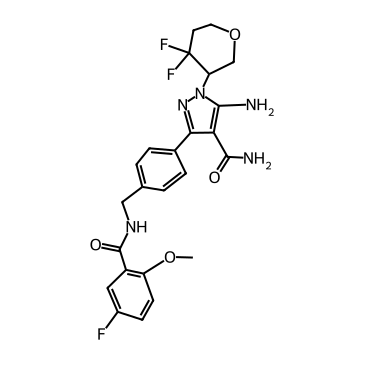 COc1ccc(F)cc1C(=O)NCc1ccc(-c2nn(C3COCCC3(F)F)c(N)c2C(N)=O)cc1